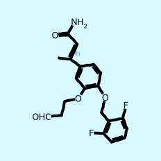 C/C(=C\C(N)=O)c1ccc(OCc2c(F)cccc2F)c(OCCC=O)c1